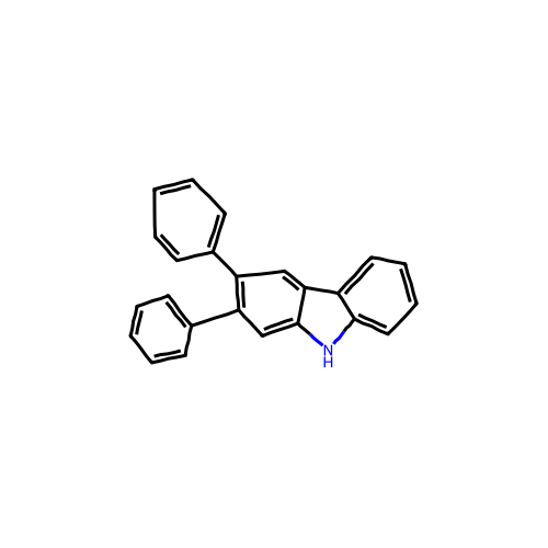 c1ccc(-c2cc3[nH]c4ccccc4c3cc2-c2ccccc2)cc1